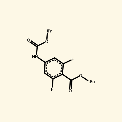 CC(C)OC(=O)Nc1cc(F)c(C(=O)OC(C)(C)C)c(F)c1